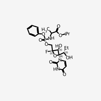 CC[C@H](O)[C@@]1(n2ccc(=O)[nH]c2=O)O[C@](F)(COP(=O)(NC(C)C(=O)OC(C)C)Oc2ccccc2)[C@H]1O